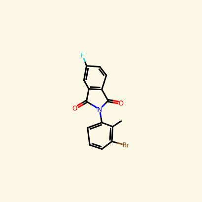 Cc1c(Br)cccc1N1C(=O)c2ccc(F)cc2C1=O